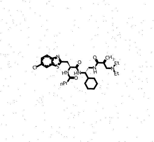 C=C(CN(CC)CC)C(=O)NC[C@@H](NC(=O)[C@H](Cc1nc2ccc(Cl)cc2s1)NC(=O)CCC)C1CCCCC1